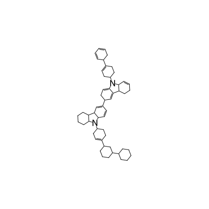 C1=CCC(C2=CCC(N3C4=CCC(C5=CC6C7CCCCC7N(C7CC=C(C8CCCC(C9CCCCC9)C8)CC7)C6C=C5)C=C4C4CCC=CC43)CC2)C=C1